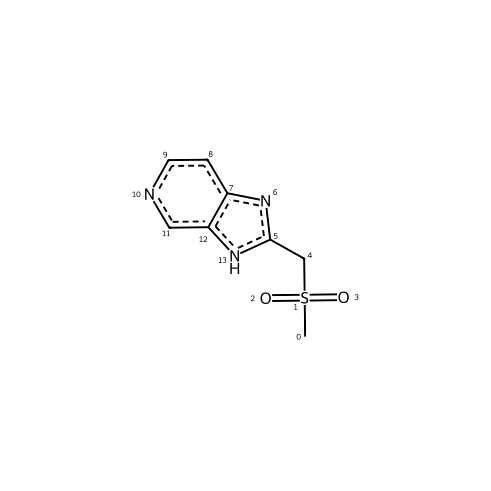 CS(=O)(=O)Cc1nc2ccncc2[nH]1